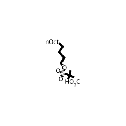 CCCCCCCCCCCCOS(=O)(=O)C(C)(C)C(=O)O